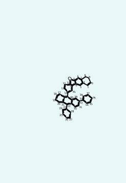 C1=Cc2cc3c(cc2CC1)oc1ccc(-c2c4ccccc4c(-c4ccccc4)c4ccc(-c5ccccc5)cc24)cc13